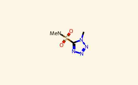 CNS(=O)(=O)c1nnnn1C